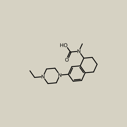 CCN1CCN(c2ccc3c(c2)C(N(C)C(=O)O)CCC3)CC1